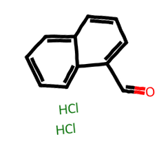 Cl.Cl.O=Cc1cccc2ccccc12